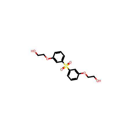 O=S(=O)(c1cccc(OCCO)c1)c1cccc(OCCO)c1